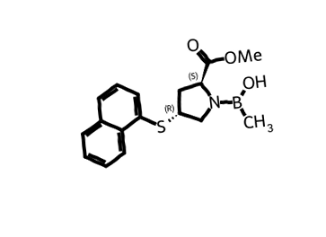 COC(=O)[C@@H]1C[C@@H](Sc2cccc3ccccc23)CN1B(C)O